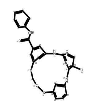 O=C(Nc1ccccc1)c1cc2cc(c1)OCCSc1cccc(c1)Nc1nc(ncc1Cl)N2